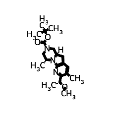 CO[C@H](C)c1nc2c(cc1C)C[C@@H]1CN(C(=O)OC(C)(C)C)C[C@@H](C)N21